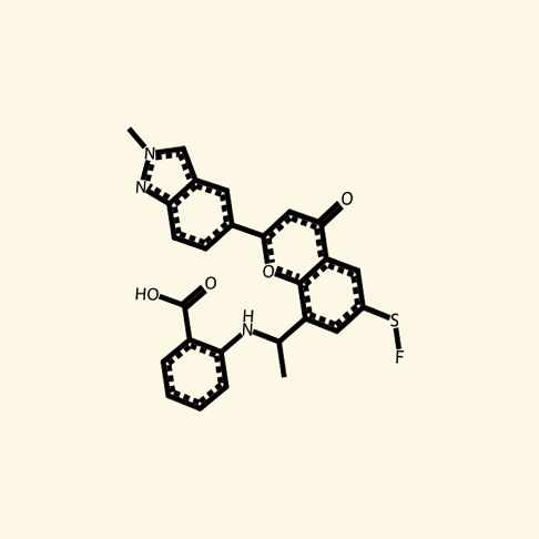 CC(Nc1ccccc1C(=O)O)c1cc(SF)cc2c(=O)cc(-c3ccc4nn(C)cc4c3)oc12